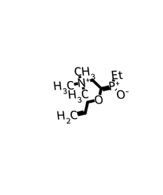 C=CCO/C(C[N+](C)(C)C)=[P+](\[O-])CC